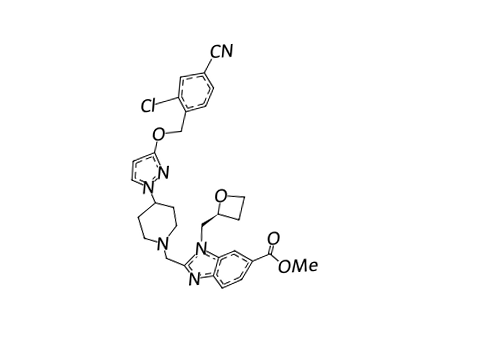 COC(=O)c1ccc2nc(CN3CCC(n4ccc(OCc5ccc(C#N)cc5Cl)n4)CC3)n(C[C@@H]3CCO3)c2c1